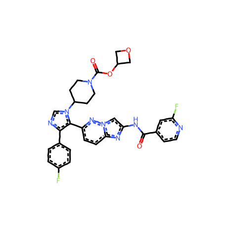 O=C(Nc1cn2nc(-c3c(-c4ccc(F)cc4)ncn3C3CCN(C(=O)OC4COC4)CC3)ccc2n1)c1ccnc(F)c1